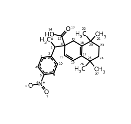 CC(c1ccc([N+](=O)[O-])cc1)C1(C(=O)O)C=CC2=C(C1)C(C)(C)CCC2(C)C